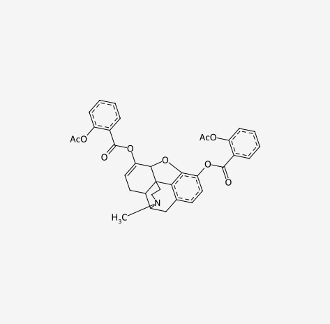 CC(=O)Oc1ccccc1C(=O)OC1=CCC2C3Cc4ccc(OC(=O)c5ccccc5OC(C)=O)c5c4C2(CCN3C)C1O5